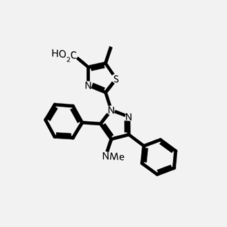 CNc1c(-c2ccccc2)nn(-c2nc(C(=O)O)c(C)s2)c1-c1ccccc1